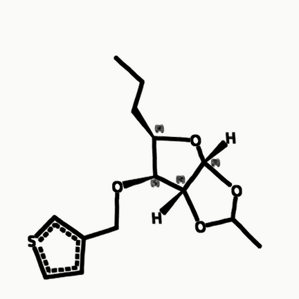 CCC[C@H]1O[C@@H]2OC(C)O[C@@H]2[C@H]1OCc1ccsc1